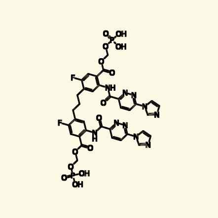 O=C(Nc1cc(CCCc2cc(NC(=O)c3ccc(-n4ccnc4)nn3)c(C(=O)OCOP(=O)(O)O)cc2F)c(F)cc1C(=O)OCOP(=O)(O)O)c1ccc(-n2ccnc2)nn1